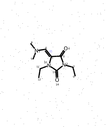 CCN1C(=O)/C(=C/N(C)C)N(CC)C1=O